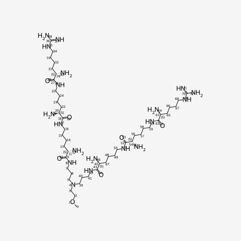 COCCN(CCCNC(=O)[C@@H](N)CCCCNC(=O)[C@@H](N)CCCCNC(=O)[C@@H](N)CCCCNC(=N)N)CCCNC(=O)[C@@H](N)CCCCNC(=O)[C@@H](N)CCCCNC(=O)[C@@H](N)CCCCNC(=N)N